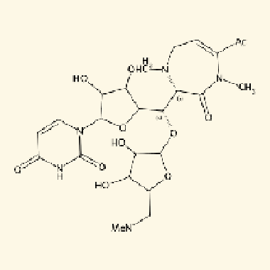 CNCC1OC(O[C@H](C2OC(n3ccc(=O)[nH]c3=O)C(O)C2O)[C@H]2C(=O)N(C)C(C(C)=O)=CCN2C)C(O)C1O